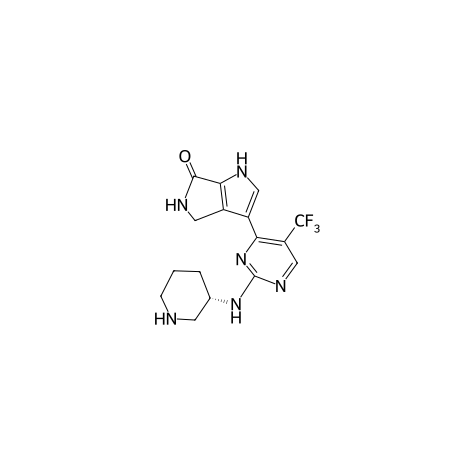 O=C1NCc2c(-c3nc(N[C@H]4CCCNC4)ncc3C(F)(F)F)c[nH]c21